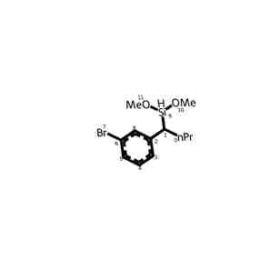 CCCC(c1cccc(Br)c1)[SiH](OC)OC